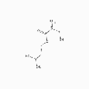 C=C(CS)C(=O)OCCC(C)S